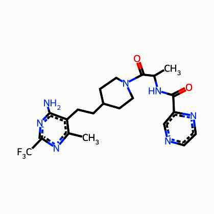 Cc1nc(C(F)(F)F)nc(N)c1CCC1CCN(C(=O)C(C)NC(=O)c2cnccn2)CC1